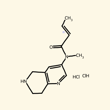 C/C=C/C(=O)N(C)c1cnc2c(c1)CNCC2.Cl.Cl